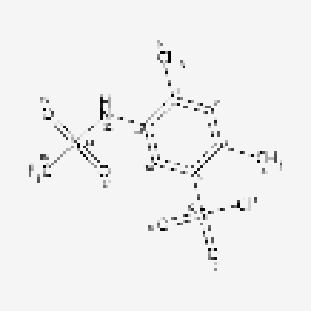 Cc1cc(C)c(S(=O)(=O)Cl)cc1NS(=O)(=O)C(F)(F)F